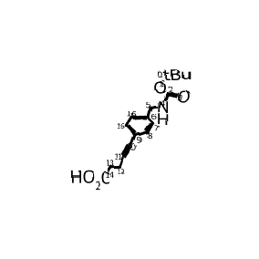 CC(C)(C)OC(=O)NCc1ccc(C#CCCC(=O)O)cc1